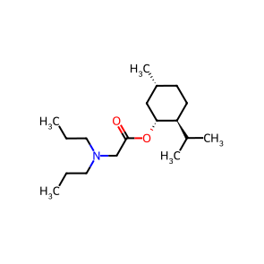 CCCN(CCC)CC(=O)O[C@@H]1C[C@H](C)CC[C@H]1C(C)C